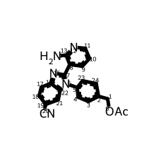 CC(=O)OCc1ccc(-n2c(-c3cccnc3N)nc3ccc(C#N)cc32)cc1